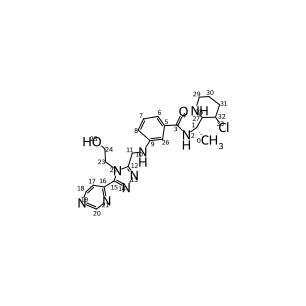 C[C@H](NC(=O)c1cccc(NCc2nnc(-c3ccncn3)n2CCO)c1)C1NCCCC1Cl